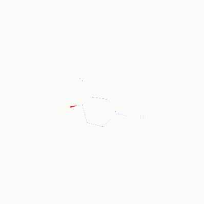 N#C[C@@H]1CN(C(=O)O)CC[C@H]1O